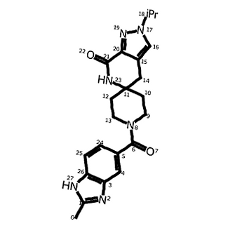 Cc1nc2cc(C(=O)N3CCC4(CC3)Cc3cn(C(C)C)nc3C(=O)N4)ccc2[nH]1